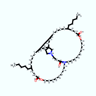 CCCCCC1CCCCC2CCC34CCC2CCCCC(CCCCC)CCC(=O)OCCCCCCCCN(CCCCCCCCOC(=O)CC1)C(=O)CCN(CC3)C4